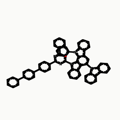 c1ccc(-c2ccc(-c3ccc(-c4nc(-c5ccccc5)nc(-n5c6ccccc6c6c(-n7c8ccccc8c8ccccc87)cc7c8ccccc8n(-c8ccccc8)c7c65)n4)cc3)cc2)cc1